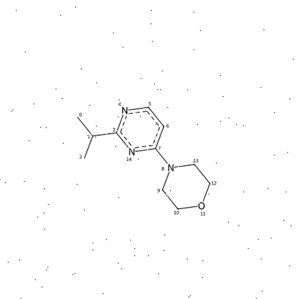 CC(C)c1nccc(N2CCOCC2)n1